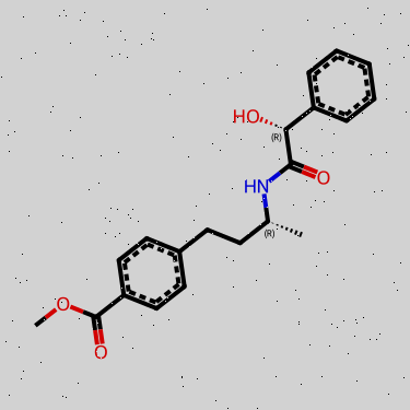 COC(=O)c1ccc(CC[C@@H](C)NC(=O)[C@H](O)c2ccccc2)cc1